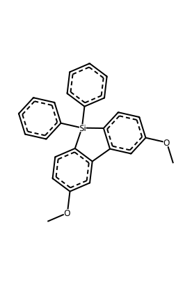 COc1ccc2c(c1)-c1cc(OC)ccc1[Si]2(c1ccccc1)c1ccccc1